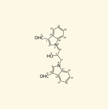 O=CC1=C[N+](=CC(O)Cn2cc(C=O)c3ccccc32)c2ccccc21